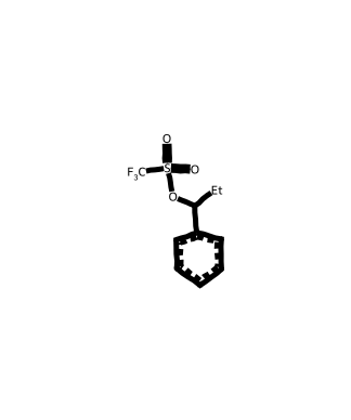 CCC(OS(=O)(=O)C(F)(F)F)c1ccccc1